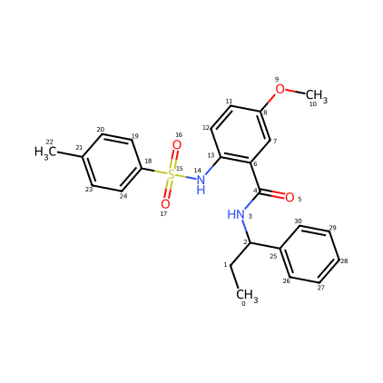 CCC(NC(=O)c1cc(OC)ccc1NS(=O)(=O)c1ccc(C)cc1)c1ccccc1